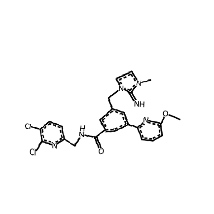 COc1cccc(-c2cc(Cn3ccn(C)c3=N)cc(C(=O)NCc3ccc(Cl)c(Cl)n3)c2)n1